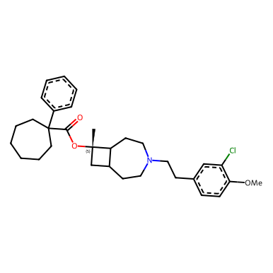 COc1ccc(CCN2CCC3C[C@](C)(OC(=O)C4(c5ccccc5)CCCCCC4)C3CC2)cc1Cl